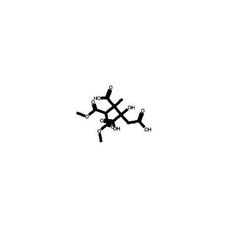 COC(=O)C(C(=O)OC)C(C)(C(=O)O)C(O)(CC(=O)O)C(=O)O